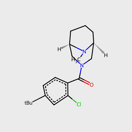 CN1[C@@H]2CCC[C@H]1CN(C(=O)c1ccc(C(C)(C)C)cc1Cl)C2